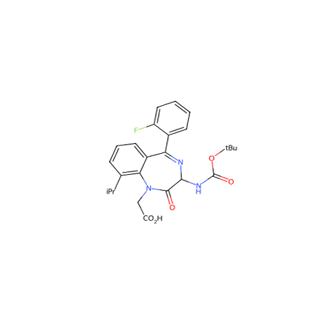 CC(C)c1cccc2c1N(CC(=O)O)C(=O)C(NC(=O)OC(C)(C)C)N=C2c1ccccc1F